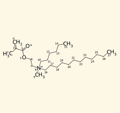 C=C(C)C(=O)OCC[N+](C)(CCCCCC)CCCCCCCCCCCC